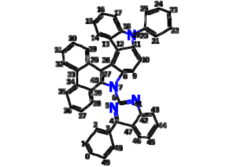 c1ccc(-c2nc(-n3c4ccc5c(c6ccccc6n5-c5ccccc5)c4c4c5ccccc5c5ccccc5c43)nc3ccccc23)cc1